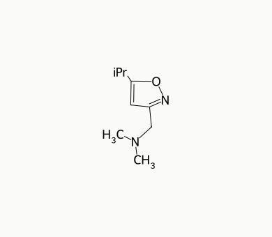 CC(C)c1cc(CN(C)C)no1